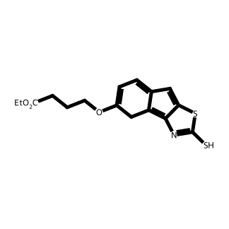 CCOC(=O)CCCOC1=CC=C2C=c3sc(S)nc3=C2C1